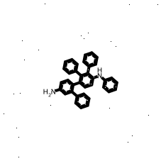 Nc1ccc(-c2ccc(Nc3ccccc3)c(-c3ccccc3)c2-c2ccccc2)c(-c2ccccc2)c1